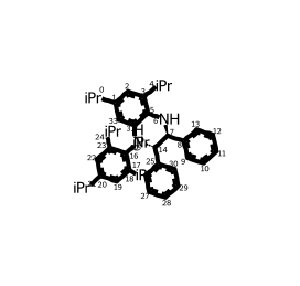 CC(C)c1cc(C(C)C)c(N[C@@H](c2ccccc2)[C@@H](Nc2c(C(C)C)cc(C(C)C)cc2C(C)C)c2ccccc2)c(C(C)C)c1